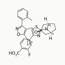 Cc1ccccc1-c1noc(C2CC2)c1CO[C@H]1C[C@H]2CC[C@@H](C1)N2c1nc(-c2ccc(C(=O)O)c(F)c2)cs1